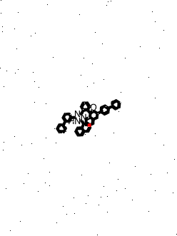 C1=C(C2=NC(c3cccc4oc5c(c34)-c3ccccc3CC5c3ccc(-c4ccccc4)cc3)=NC(c3cccc4ccccc34)N2)CCC=C1c1ccccc1